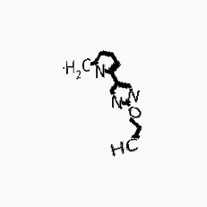 C#CCCOc1ncc(-c2cccc([CH2])n2)cn1